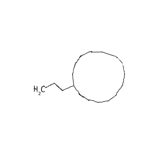 [CH2]CCC1CCCCCCCCCCCCCC1